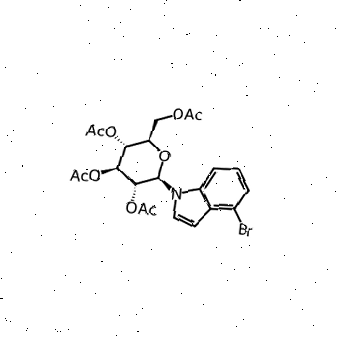 CC(=O)OC[C@H]1O[C@@H](n2ccc3c(Br)cccc32)[C@H](OC(C)=O)[C@@H](OC(C)=O)[C@@H]1OC(C)=O